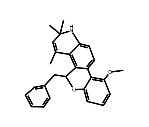 COc1cccc2c1-c1ccc3c(c1C(Cc1ccccc1)O2)C(C)=CC(C)(C)N3